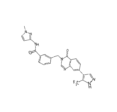 Cn1ccc(NC(=O)c2cccc(Cn3cnc4cc(-c5cn[nH]c5C(F)(F)F)ccc4c3=O)c2)n1